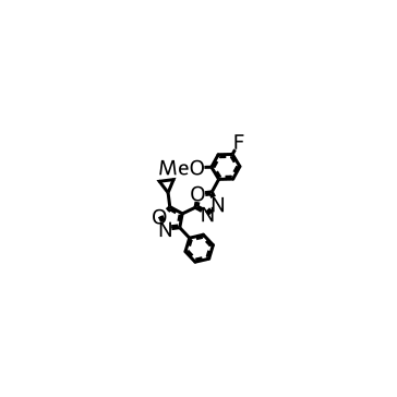 COc1cc(F)ccc1-c1nnc(-c2c(-c3ccccc3)noc2C2CC2)o1